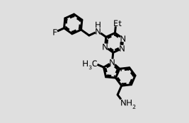 CCc1nnc(-n2c(C)cc3c(CN)cccc32)nc1NCc1cccc(F)c1